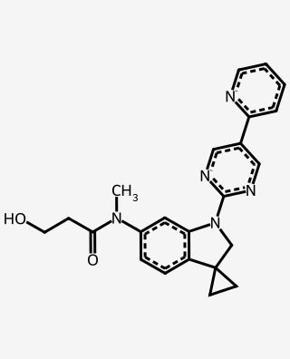 CN(C(=O)CCO)c1ccc2c(c1)N(c1ncc(-c3ccccn3)cn1)CC21CC1